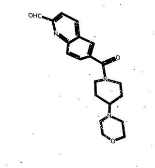 O=Cc1ccc2cc(C(=O)N3CCC(N4CCOCC4)CC3)ccc2n1